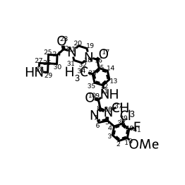 COc1ccc(-c2cnc(C(=O)Nc3ccc(C(=O)N4CCN(C(=O)C5CC6(CNC6)C5)CC4)c(C)c3)n2C)c(Cl)c1F